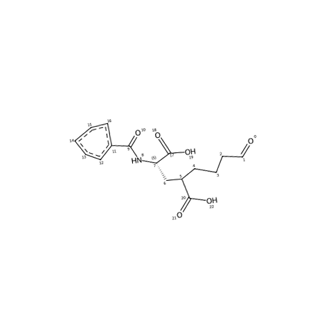 O=CCCCC(C[C@H](NC(=O)c1ccccc1)C(=O)O)C(=O)O